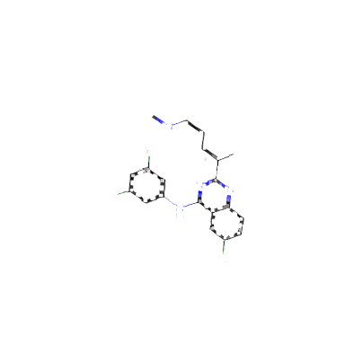 C=N/C=C\C=C(/C)c1nc(Nc2cc(F)cc(F)c2)c2cc(Cl)ccc2n1